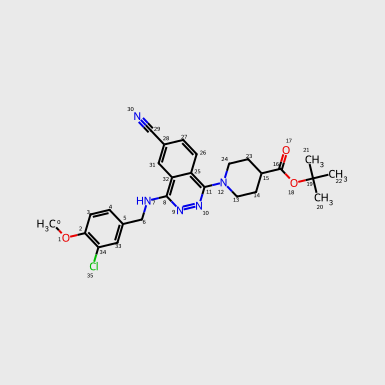 COc1ccc(CNc2nnc(N3CCC(C(=O)OC(C)(C)C)CC3)c3ccc(C#N)cc23)cc1Cl